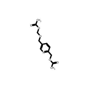 CC(=O)OCOCc1ccc(COC(C)=O)nc1